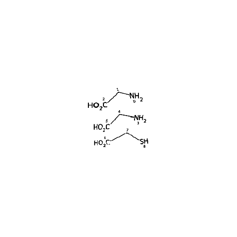 NCC(=O)O.NCC(=O)O.O=C(O)CS